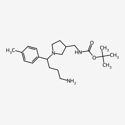 Cc1ccc(C(CCCN)N2CCC(CNC(=O)OC(C)(C)C)C2)cc1